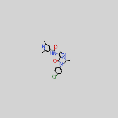 Cc1cc(C(=O)Nc2cnn3c2C(=O)N(c2ccc(Cl)cc2)C[C@@H]3C)cc(C)n1